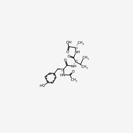 CC(=O)N[C@@H](Cc1ccc(O)cc1)C(=O)N[C@H](C(=O)N[C@@H](C)C(=O)O)C(C)C